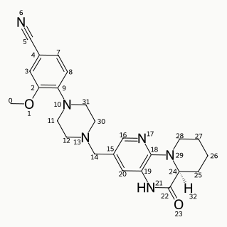 COc1cc(C#N)ccc1N1CCN(Cc2cnc3c(c2)NC(=O)[C@@H]2CCCCN32)CC1